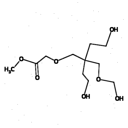 COC(=O)COCC(CCO)(CCO)COCO